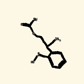 CC(CCOC(=O)S)c1ccccc1SS